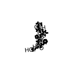 CCC(C)C(C(CC(=O)N1CCC[C@H]1C(OC)C(C)C(=O)NC(Cc1ccccc1)C(=O)NCCC[Si](C)(C)O)OC)N(C)C(=O)C(NC(=O)C(C(C)C)N(C)C)C(C)C